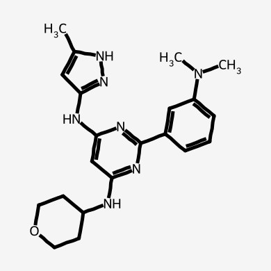 Cc1cc(Nc2cc(NC3CCOCC3)nc(-c3cccc(N(C)C)c3)n2)n[nH]1